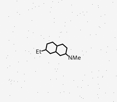 CCC1CCC2CCC(NC)CC2C1